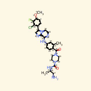 COc1ccc(-c2cnc3c(Nc4ccc(C(=O)N5CCN(C(=O)N[C@H](C)CN)CC5)c(C)c4)nccn23)c(Cl)c1F